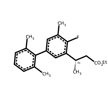 CCOC(=O)C[C@H](C)c1cc(-c2c(C)cccc2C)cc(C)c1F